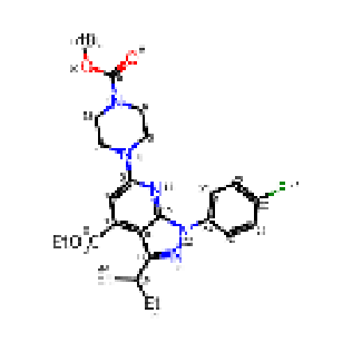 CCOC(=O)c1cc(N2CCN(C(=O)OC(C)(C)C)CC2)nc2c1c(C(CC)CC)nn2-c1ccc(F)cc1